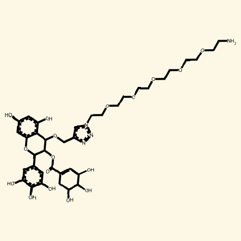 NCCOCCOCCOCCOCCOCCn1cc(COC2c3c(O)cc(O)cc3OC(c3cc(O)c(O)c(O)c3)C2OC(=O)C2=CC(O)C(O)C(O)C2)nn1